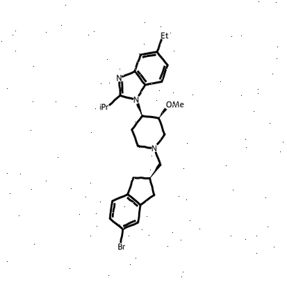 CCc1ccc2c(c1)nc(C(C)C)n2[C@@H]1CCN(C[C@@H]2Cc3ccc(Br)cc3C2)C[C@@H]1OC